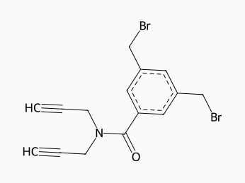 C#CCN(CC#C)C(=O)c1cc(CBr)cc(CBr)c1